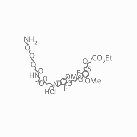 CCOC(=O)CCC(=O)c1cc2c(F)c(OCCCOc3c(OC)cc4c(c3F)CN(C(=O)CCC(=O)O[C@@H](C)CNC(=O)CCOCCOCCOCCN)C4)c(OC)cc2s1.Cl